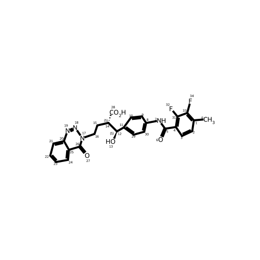 Cc1ccc(C(=O)Nc2ccc([C@@H](O)[C@H](CCn3nnc4ccccc4c3=O)C(=O)O)cc2)c(F)c1F